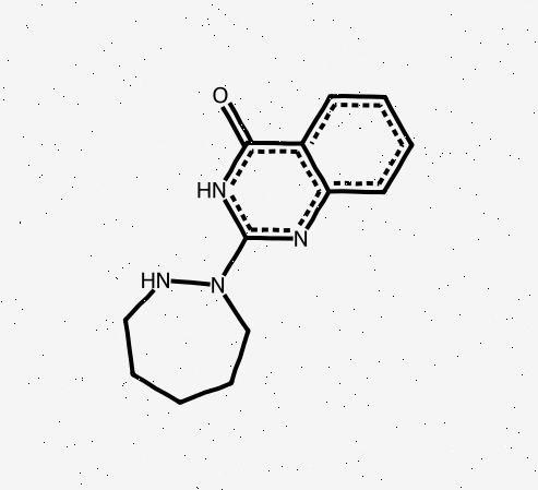 O=c1[nH]c(N2CCCCCN2)nc2ccccc12